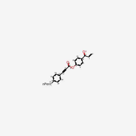 C=CC(=O)c1ccc(OC(=O)C#Cc2ccc(CCCCC)cc2)cc1